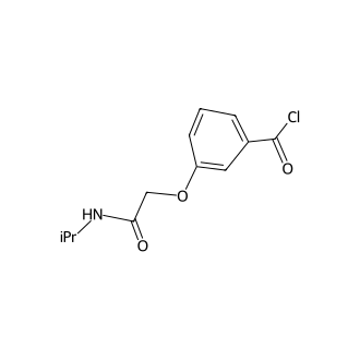 CC(C)NC(=O)COc1cccc(C(=O)Cl)c1